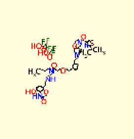 CCCCN(CCNCCc1ccc(O)c2c1OCC(=O)N2)C(=O)CCOCCc1cccc(CCN2CCC3(CC2)CN(C(=O)c2csc(C(C)C)n2)CCO3)c1.O=C(O)C(F)(F)F.O=C(O)C(F)(F)F